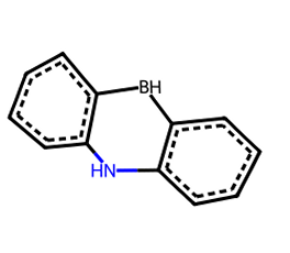 B1c2ccccc2Nc2ccccc21